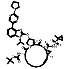 CC(C)n1c(O[C@@H]2C[C@H]3C(=O)N[C@]4(C(=O)NS(=O)(=O)C5(C)CC5)C[C@H]4/C=C\CCCCC[C@H](NC(=O)OC(C)(C)C)C(=O)N3C2)nc2c(-c3cnc(N4CCCC4)cn3)cccc21